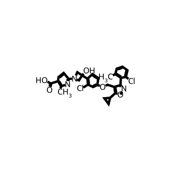 Cc1cccc(Cl)c1-c1noc(C2CC2)c1COc1ccc(C2(O)CN(c3ccc(C(=O)O)c(C)n3)C2)c(Cl)c1